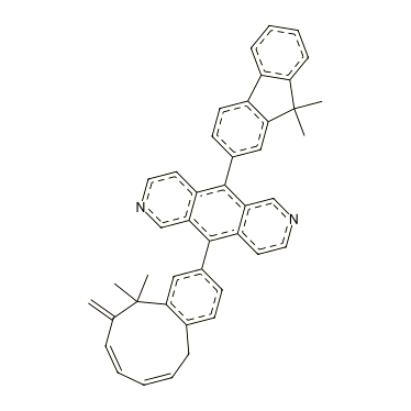 C=C1/C=C\C=C/Cc2ccc(-c3c4ccncc4c(-c4ccc5c(c4)C(C)(C)c4ccccc4-5)c4ccncc34)cc2C1(C)C